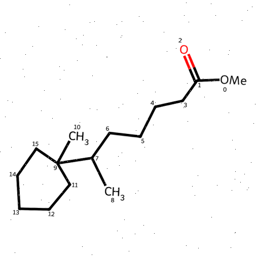 COC(=O)CCCCC(C)C1(C)CCCCC1